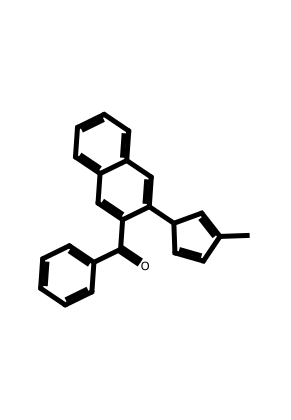 CC1=CC(c2cc3ccccc3cc2C(=O)c2ccccc2)C=C1